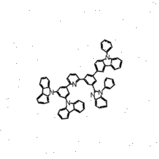 c1ccc(-n2c(-c3cc(-c4ccc5c(c4)c4ccccc4n5-c4ccccc4)cc(-c4cccc(-c5cc(-n6c7ccccc7c7ccccc76)cc(-n6c7ccccc7c7ccccc76)c5)n4)c3)nc3ccccc32)cc1